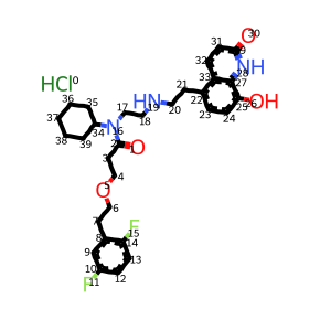 Cl.O=C(CCOCCc1cc(F)ccc1F)N(CCNCCc1ccc(O)c2[nH]c(=O)ccc12)C1CCCCC1